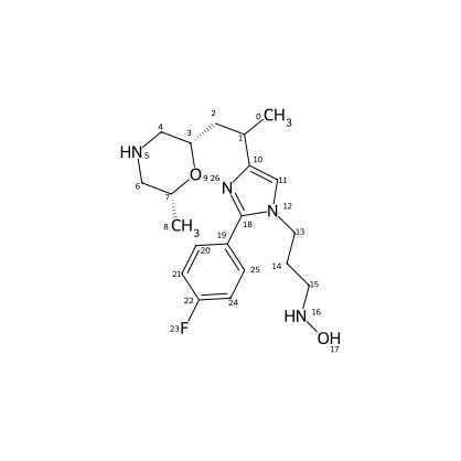 CC(C[C@H]1CNC[C@@H](C)O1)c1cn(CCCNO)c(-c2ccc(F)cc2)n1